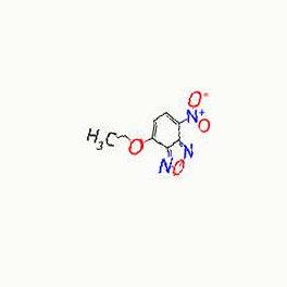 CCOc1ccc([N+](=O)[O-])c2nonc12